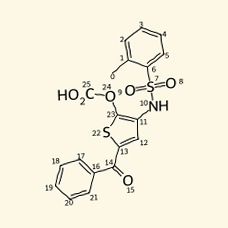 Cc1ccccc1S(=O)(=O)Nc1cc(C(=O)c2ccccc2)sc1OC(=O)O